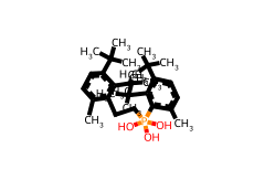 Cc1ccc(C(C)(C)C)c(C(C)(C)C)c1CCP(O)(O)(O)c1c(C)ccc(C(C)(C)C)c1C(C)(C)C